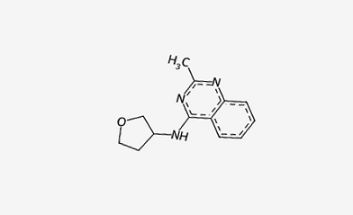 Cc1nc(NC2CCOC2)c2ccccc2n1